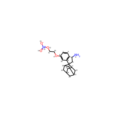 NCCC1(c2cccc(OCCO[N+](=O)[O-])c2)C2CC3CC(C2)CC1C3